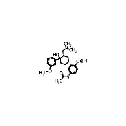 CC(=O)Nc1ccc(O)cc1.COc1cccc([C@@]2(O)CCCC[C@@H]2CN(C)C)c1.Cl